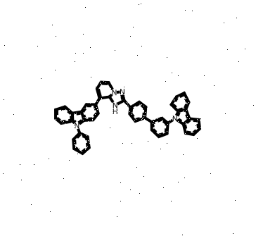 C1=CN2N=C(c3ccc(-c4cccc(-n5c6ccccc6c6ccccc65)c4)cc3)NC2C(c2ccc3c(c2)c2ccccc2n3-c2ccccc2)=C1